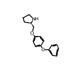 c1ccc(Oc2ccc(OC[C@H]3CCCN3)cc2)cc1